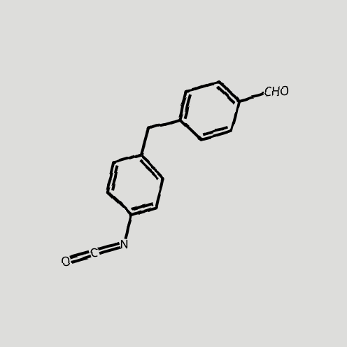 O=C=Nc1ccc(Cc2ccc(C=O)cc2)cc1